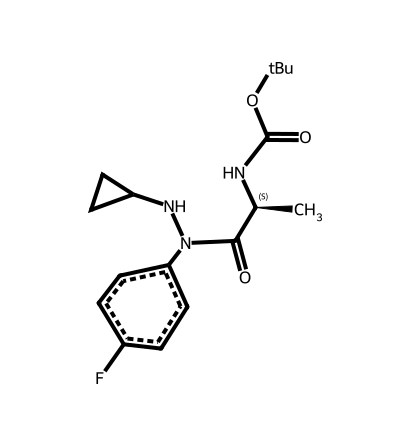 C[C@H](NC(=O)OC(C)(C)C)C(=O)N(NC1CC1)c1ccc(F)cc1